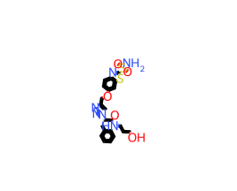 NS(=O)(=O)c1nc2ccc(OCc3cn([C@@H](Cc4ccccc4)C(=O)NCCCO)nn3)cc2s1